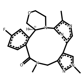 Cc1ncc2nc1N1CCOC[C@@H]1c1cc(F)ccc1C(=O)N(C)Cc1nn(C)cc1-2